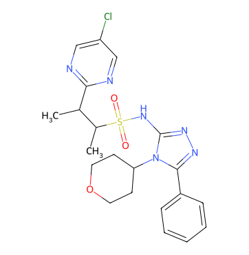 CC(c1ncc(Cl)cn1)C(C)S(=O)(=O)Nc1nnc(-c2ccccc2)n1C1CCOCC1